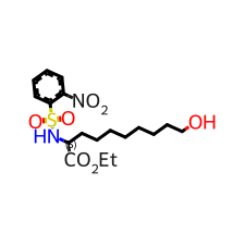 CCOC(=O)[C@H](CCCCCCCCO)NS(=O)(=O)c1ccccc1[N+](=O)[O-]